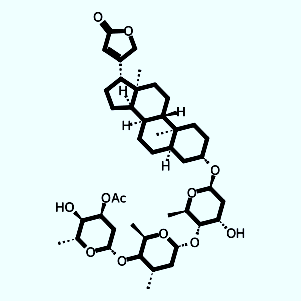 CC(=O)O[C@H]1C[C@H](OC2[C@@H](C)C[C@@H](O[C@H]3[C@@H](O)C[C@H](O[C@H]4CC[C@@]5(C)[C@H](CC[C@H]6[C@H]7CC[C@H](C8=CC(=O)OC8)[C@@]7(C)CC[C@@H]65)C4)O[C@@H]3C)O[C@@H]2C)O[C@H](C)[C@H]1O